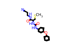 CSCC(NC(=O)Nc1ccc(Oc2ccccc2)cc1)C(=O)NCCC#N